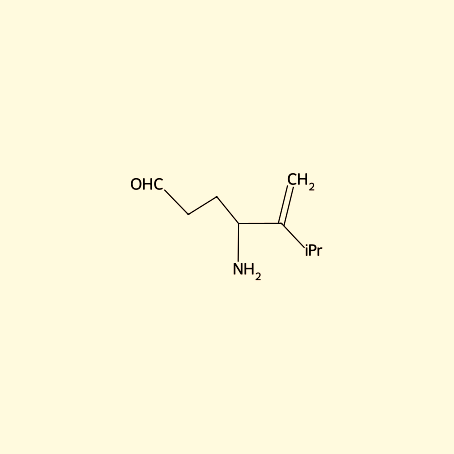 C=C(C(C)C)C(N)CCC=O